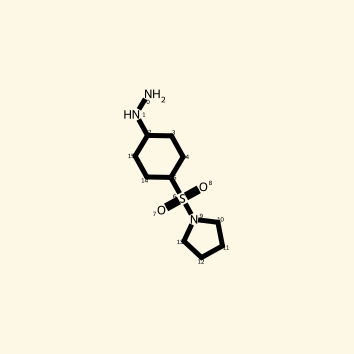 NNC1CCC(S(=O)(=O)N2CCCC2)CC1